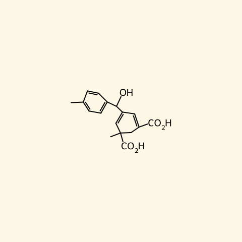 Cc1ccc(C(O)C2=CC(C)(C(=O)O)CC(C(=O)O)=C2)cc1